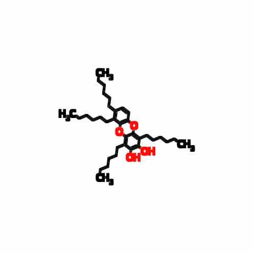 CCCCCCc1ccc2c(c1CCCCCC)Oc1c(CCCCCC)c(O)c(O)c(CCCCCC)c1O2